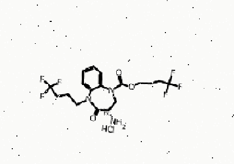 Cl.N[C@H]1CN(C(=O)OCCCC(F)(F)F)c2ccccc2N(CCCC(F)(F)F)C1=O